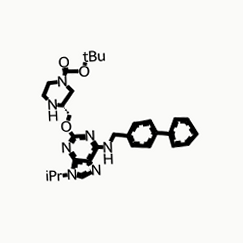 CC(C)n1cnc2c(NCc3ccc(-c4ccccc4)cc3)nc(OC[C@H]3CN(C(=O)OC(C)(C)C)CCN3)nc21